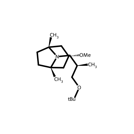 CO[C@@H]1C[C@]2(C)CC[C@](C)(C1)N2C[C@@H](C)COC(C)(C)C